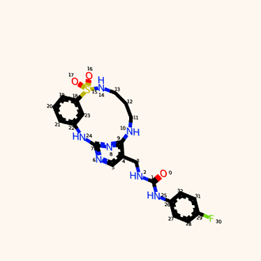 O=C(NCc1cnc2nc1NCCCNS(=O)(=O)c1cccc(c1)N2)Nc1ccc(F)cc1